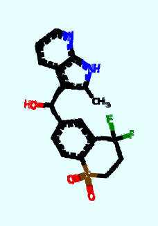 Cc1[nH]c2ncccc2c1C(O)c1ccc2c(c1)C(F)(F)CCS2(=O)=O